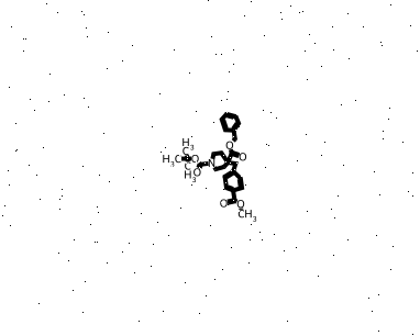 COC(=O)c1ccc(CC2(C(=O)OCc3ccccc3)CCN(C(=O)OC(C)(C)C)CC2)cc1